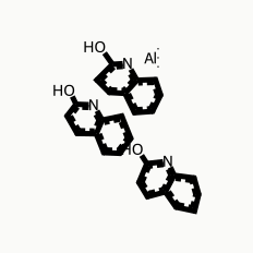 Oc1ccc2ccccc2n1.Oc1ccc2ccccc2n1.Oc1ccc2ccccc2n1.[Al]